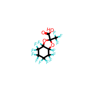 O=C(O)C1(C(F)(F)F)OC2(F)C(F)(F)C(F)(F)C(F)(F)C(F)(F)C2(F)O1